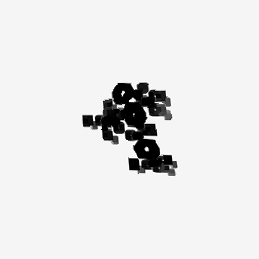 CC(C)N(C(=O)C1CCCCC1)c1cc(NC(=O)C(C)(C)C)cc(NC(=O)[C@H]2CC[C@@H](C(C)(C)C)CC2)c1